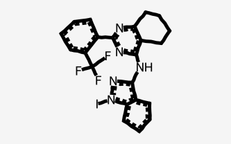 FC(F)(F)c1ccccc1-c1nc2c(c(Nc3nn(I)c4ccccc34)n1)CCCC2